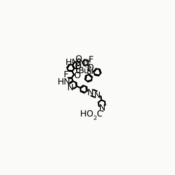 CC(C)(C)[Si](O[C@H]1CN(S(=O)(=O)Nc2ccc(F)c(C(=O)c3c[nH]c4ncc(-c5ccc(N6CCN(CC7CCN(CC(=O)O)CC7)CC6)cc5)cc34)c2F)C[C@@H]1F)(c1ccccc1)c1ccccc1